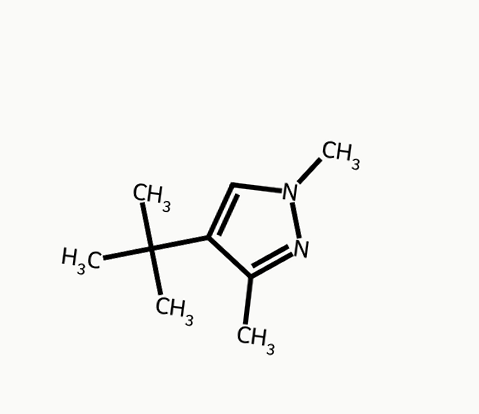 Cc1nn(C)cc1C(C)(C)C